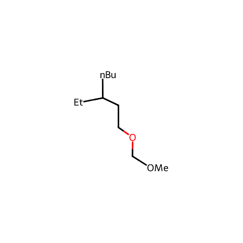 CCCCC(CC)CCOCOC